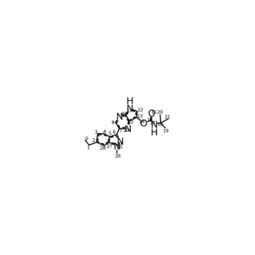 CCc1ccc2c(-c3cnc4[nH]cc(OC(=O)NC(C)(C)C)c4n3)nn(C)c2c1